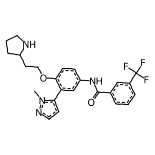 Cn1nccc1-c1cc(NC(=O)c2cccc(C(F)(F)F)c2)ccc1OCCC1CCCN1